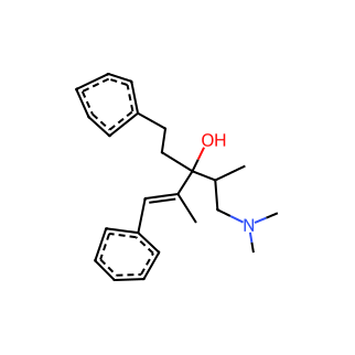 C/C(=C\c1ccccc1)C(O)(CCc1ccccc1)C(C)CN(C)C